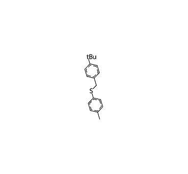 Cc1ccc(SCc2ccc(C(C)(C)C)cc2)cc1